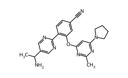 Cc1nc(Oc2cc(C#N)ccc2-c2ncc(C(C)N)cn2)cc(N2CCCC2)n1